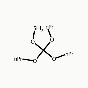 CCCOC(O[SiH3])(OCCC)OCCC